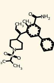 C/C=C(\c1cc(-c2ccccc2)cc(C(N)=O)c1C)C1CCN(S(=O)(=O)C(C)C)CC1